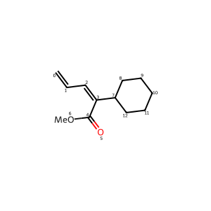 C=CC=C(C(=O)OC)C1CCCCC1